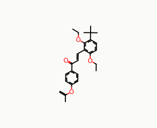 C=C(C)Oc1ccc(C(=O)C=Cc2c(OCC)ccc(C(C)(C)C)c2OCC)cc1